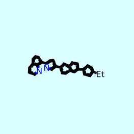 CCc1ccc(-c2ccc3cc(-c4ccc(-c5cccc6cccnc56)nc4)ccc3c2)cc1